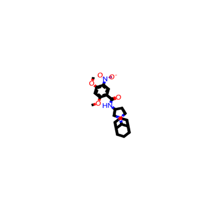 COc1cc(OC)c([N+](=O)[O-])cc1C(=O)NC1CCN(C2C3CCCC2CCC3)C1